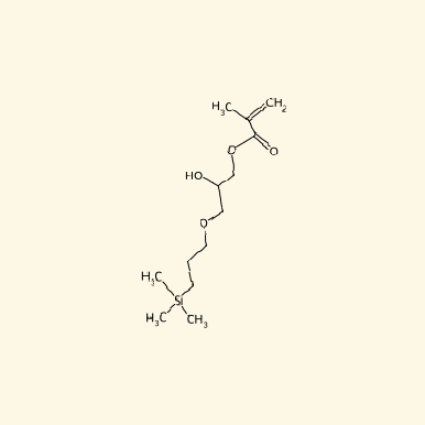 C=C(C)C(=O)OCC(O)COCCC[Si](C)(C)C